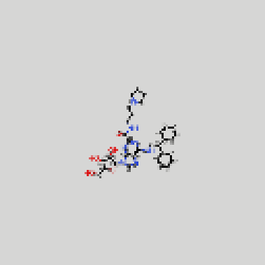 O=C(NCCCN1CCCC1)c1nc(NCC(c2ccccc2)c2ccccc2)c2ncn([C@@H]3OC(CO)C(O)[C@H]3O)c2n1